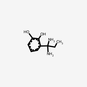 CCC(N)(N)c1cccc(O)c1O